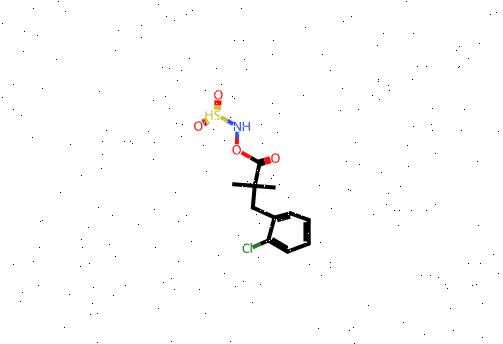 CC(C)(Cc1ccccc1Cl)C(=O)ON[SH](=O)=O